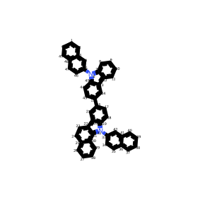 c1ccc2cc(-n3c4ccccc4c4cc(-c5ccc6c(c5)c5ccc7ccccc7c5n6-c5ccc6ccccc6c5)ccc43)ccc2c1